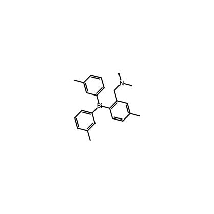 Cc1ccc[c]([Bi]([c]2cccc(C)c2)[c]2ccc(C)cc2CN(C)C)c1